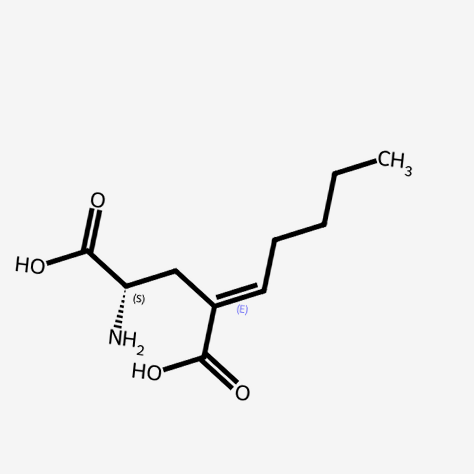 CCCC/C=C(\C[C@H](N)C(=O)O)C(=O)O